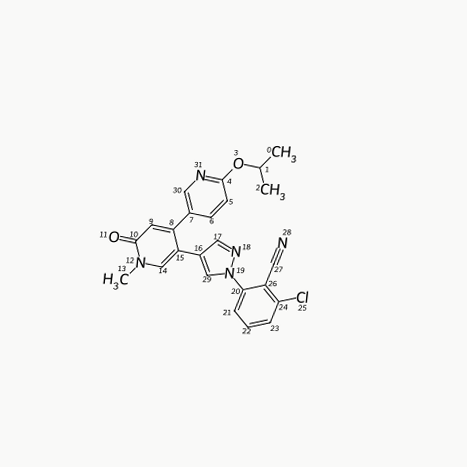 CC(C)Oc1ccc(-c2cc(=O)n(C)cc2-c2cnn(-c3cccc(Cl)c3C#N)c2)cn1